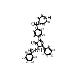 O=C(c1ccc(N2N=C(c3ccccc3)C(NNc3ccccc3)C2=O)cc1)N1CCNCC1